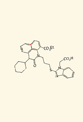 CCOC(=O)c1ccccc1N(CCCSc1nc2ccccc2n1CC(=O)O)C(=O)C(c1ccccc1)C1CCCCC1